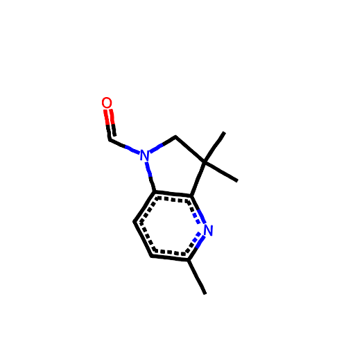 Cc1ccc2c(n1)C(C)(C)CN2C=O